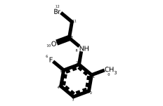 Cc1cccc(F)c1NC(=O)CBr